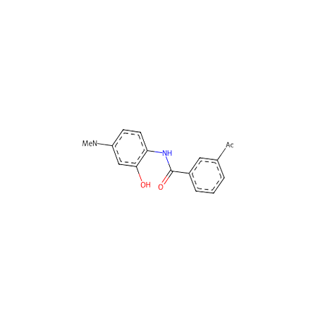 CNc1ccc(NC(=O)c2cccc(C(C)=O)c2)c(O)c1